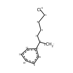 [CH2]C(CCCCCl)c1ccccc1